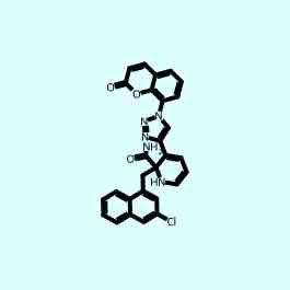 NC(=O)C1(Cc2cc(Cl)cc3ccccc23)NC=CC=C1c1cn(-c2cccc3ccc(=O)oc23)nn1